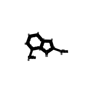 CCCCCCc1cc2cccc(OC)c2o1